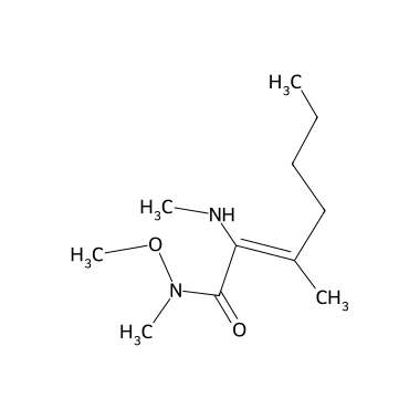 CCCCC(C)=C(NC)C(=O)N(C)OC